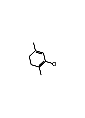 CC1=CC(Cl)=C(C)CC1